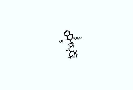 COc1cc2ccccc2c(C=O)c1-c1nnc(N(C)C2CC(C)(C)NC(C)(C)C2)s1